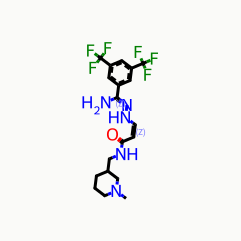 CN1CCCC(CNC(=O)/C=C\N/N=C(\N)c2cc(C(F)(F)F)cc(C(F)(F)F)c2)C1